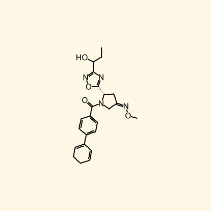 CCC(O)c1noc([C@@H]2CC(=NOC)CN2C(=O)c2ccc(C3=CCCC=C3)cc2)n1